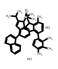 CC1=Cc2c(-c3ccc(C)c(C)c3C)ccc(C)c2[CH]1[Zr]([CH3])([CH3])(=[SiH2])[CH]1C(C(C)C)=Cc2c(-c3cccc4ccccc34)cccc21.Cl.Cl